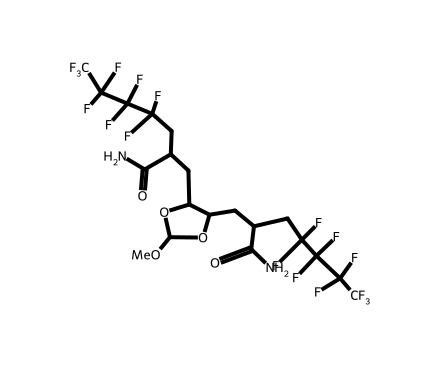 COC1OC(CC(CC(F)(F)C(F)(F)C(F)(F)C(F)(F)F)C(N)=O)C(CC(CC(F)(F)C(F)(F)C(F)(F)C(F)(F)F)C(N)=O)O1